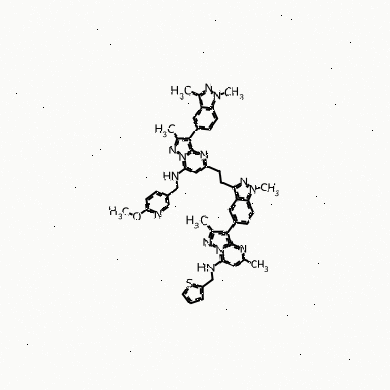 COc1ccc(CNc2cc(CCc3nn(C)c4ccc(-c5c(C)nn6c(NCc7cccs7)cc(C)nc56)cc34)nc3c(-c4ccc5c(c4)c(C)nn5C)c(C)nn23)cn1